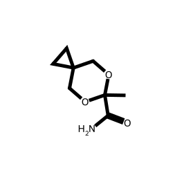 CC1(C(N)=O)OCC2(CC2)CO1